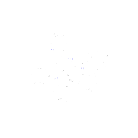 c1ccc(N2c3ccccc3B3c4c2cc(-c2ccccn2)nc4-n2c4ccccc4c4cccc3c42)cc1